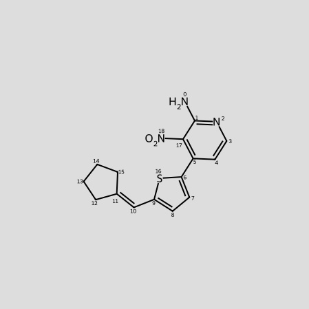 Nc1nccc(-c2ccc(C=C3CCCC3)s2)c1[N+](=O)[O-]